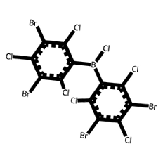 ClB(c1c(Cl)c(Br)c(Cl)c(Br)c1Cl)c1c(Cl)c(Br)c(Cl)c(Br)c1Cl